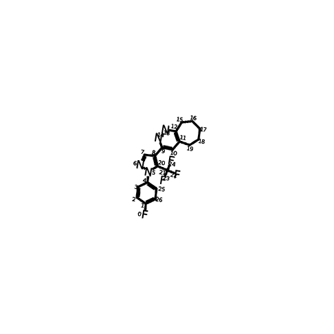 Fc1ccc(-n2ncc(-c3cc4c(nn3)CCCCC4)c2C(F)(F)F)cc1